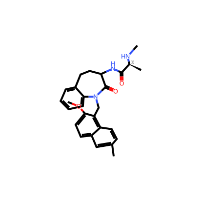 CN[C@@H](C)C(=O)NC1CCc2ccccc2N(Cc2c(OC)ccc3cc(C)ccc23)C1=O